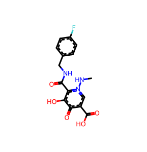 CNn1cc(C(=O)O)c(=O)c(O)c1C(=O)NCc1ccc(F)cc1